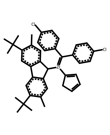 Cc1cc2c(cc1C(C)(C)C)-c1cc(C(C)(C)C)c(C)cc1[CH]2[Zr]([C]1=CC=CC1)=[C](c1ccc(Cl)cc1)c1ccc(Cl)cc1